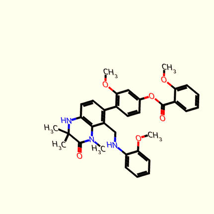 COc1ccccc1NCc1c(-c2ccc(OC(=O)c3ccccc3OC)cc2OC)ccc2c1N(C)C(=O)C(C)(C)N2